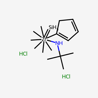 CC(C)(C)[NH][Zr]([CH3])([CH3])([CH3])([CH3])([CH3])([CH3])(=[SiH2])[C]1=CC=CC1.Cl.Cl